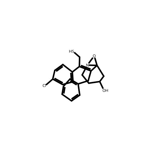 OC1CCN2OC2(/C(Cc2ccccc2)=C(\CS)c2ccc(Cl)cc2)C1